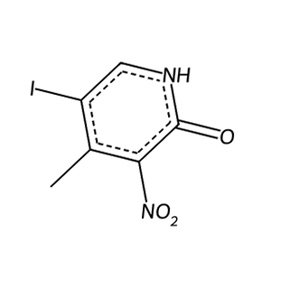 Cc1c(I)c[nH]c(=O)c1[N+](=O)[O-]